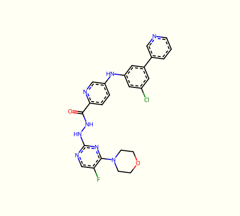 O=C(NNc1ncc(F)c(N2CCOCC2)n1)c1ccc(Nc2cc(Cl)cc(-c3cccnc3)c2)cn1